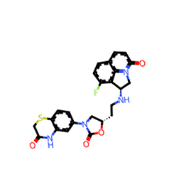 O=C1CSc2ccc(N3C[C@H](CCN[C@@H]4Cn5c(=O)ccc6ccc(F)c4c65)OC3=O)cc2N1